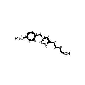 COc1ccc(Cn2cc(CCCCO)nn2)cc1